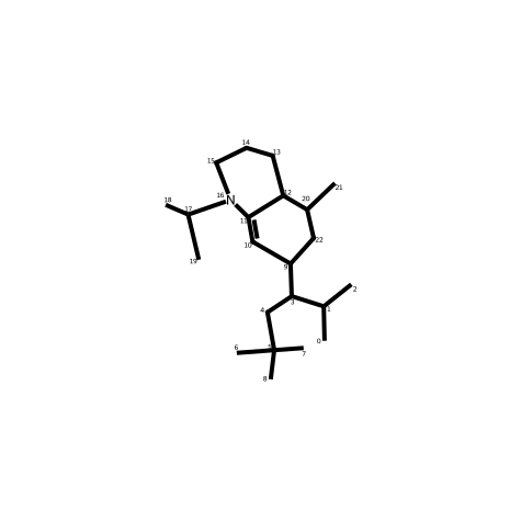 CC(C)C(CC(C)(C)C)C1C=C2C(CCCN2C(C)C)C(C)C1